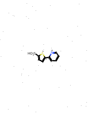 O=S(=O)(O)c1ccc(-c2ccccn2)s1